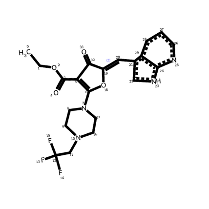 CCOC(=O)C1=C(N2CCN(CC(F)(F)F)CC2)O/C(=C\c2c[nH]c3ncccc23)C1=O